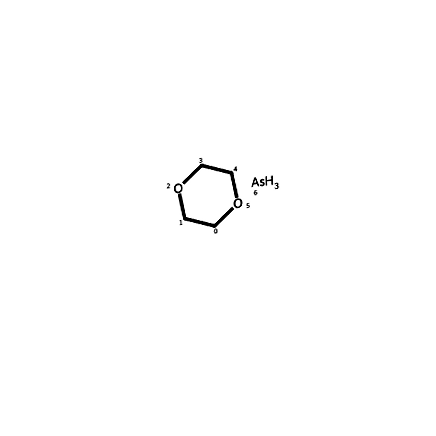 C1COCCO1.[AsH3]